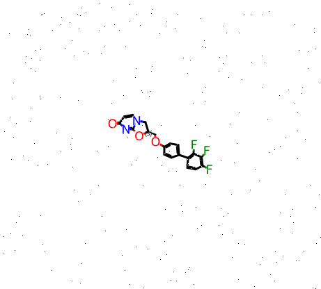 O=c1ccn2c(n1)O[C@H](COc1ccc(-c3ccc(F)c(F)c3F)cc1)C2